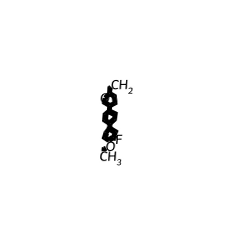 C=CC1CCC(c2ccc(-c3ccc(OCC)c(F)c3)cc2)CO1